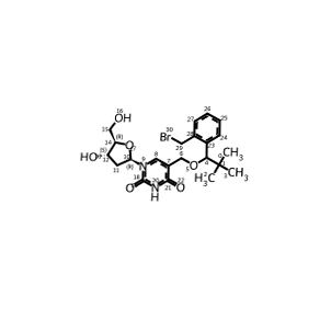 CC(C)(C)C(OCc1cn([C@H]2C[C@H](O)[C@@H](CO)O2)c(=O)[nH]c1=O)c1ccccc1CBr